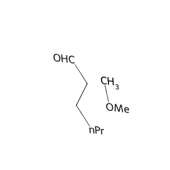 CCCCCC=O.COC